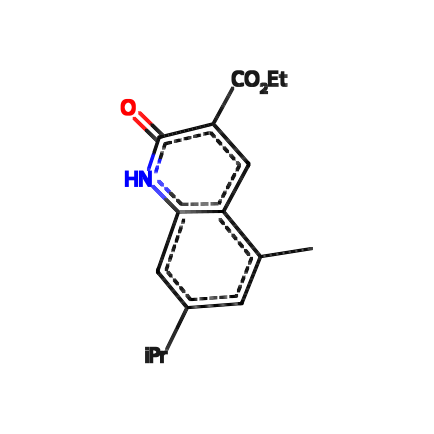 CCOC(=O)c1cc2c(C)cc(C(C)C)cc2[nH]c1=O